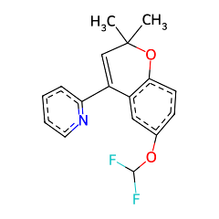 CC1(C)C=C(c2ccccn2)c2cc(OC(F)F)ccc2O1